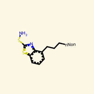 CCCCCCCCCCCCc1cccc2sc(SN)nc12